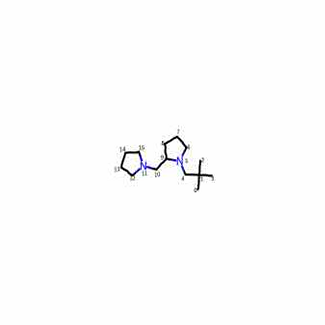 CC(C)(C)CN1CCCC1CN1CCCC1